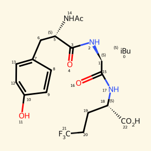 CC[C@H](C)[C@H](NC(=O)[C@H](Cc1ccc(O)cc1)NC(C)=O)C(=O)N[C@@H](CCC(F)(F)F)C(=O)O